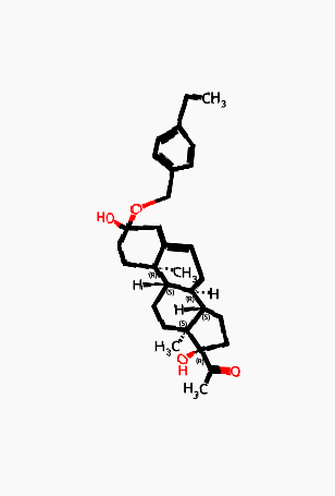 CCc1ccc(COC2(O)CC[C@@]3(C)C(=CC[C@@H]4[C@@H]3CC[C@@]3(C)[C@H]4CC[C@]3(O)C(C)=O)C2)cc1